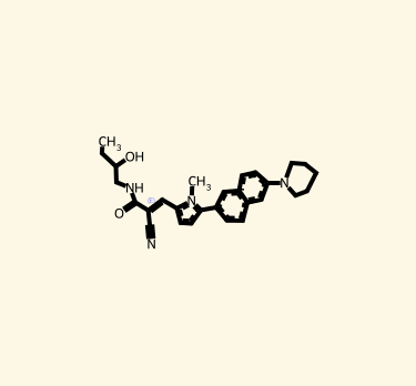 CCC(O)CNC(=O)/C(C#N)=C/c1ccc(-c2ccc3cc(N4CCCCC4)ccc3c2)n1C